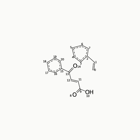 C=Cc1ccccc1.O=C(O)C=CC(=O)c1ccccc1